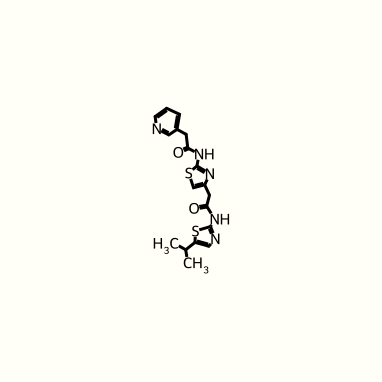 CC(C)c1cnc(NC(=O)Cc2csc(NC(=O)Cc3cccnc3)n2)s1